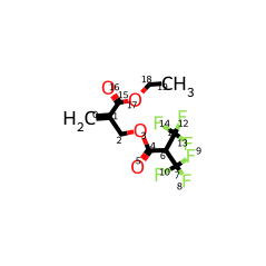 C=C(COC(=O)C(C(F)(F)F)C(F)(F)F)C(=O)OCC